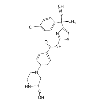 C#C[C@@](C)(c1ccc(Cl)cc1)c1csc(NC(=O)c2ccc(N3CCNC(CO)C3)cc2)n1